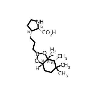 C[C@@H]1C(C)(C)CC[C@@H]2OB(CCC[C@@H]3CCN[C@@H]3C(=O)O)O[C@@]21C